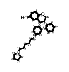 Oc1ccc2c(c1)[C@@H](c1ccc(OCCCCCN3CCCC3)cc1)[C@@H](c1ccccc1)CO2